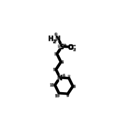 N[S+]([O-])CCCN1CCCCC1